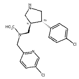 O=C(O)N(Cc1ccc(Cl)cn1)C[C@H]1CNC[C@@H]1c1ccc(Cl)cc1